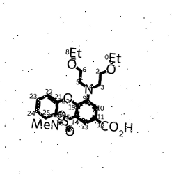 CCOCCN(CCOCC)c1cc(C(=O)O)cc(S(=O)(=O)NC)c1OC1=CC=CCC1